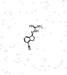 N#Cc1cccc2c1CCC2=NNC(=N)N